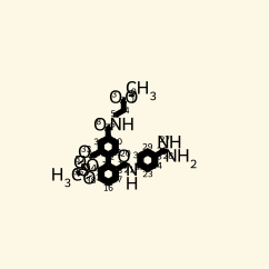 COC(=O)CCNC(=O)c1ccc(-c2ccccc2C(=O)Nc2ccc(C(=N)N)cc2)c(C(=O)OS(C)(=O)=O)c1